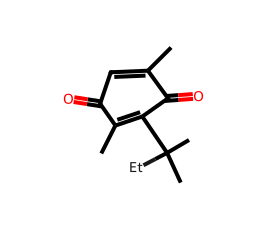 CCC(C)(C)C1=C(C)C(=O)C=C(C)C1=O